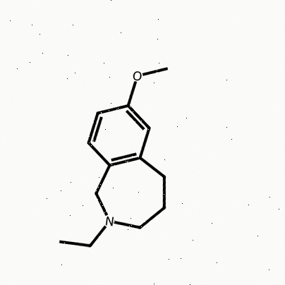 CCN1CCCc2cc(OC)ccc2C1